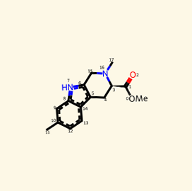 COC(=O)[C@H]1Cc2c([nH]c3cc(C)ccc23)CN1C